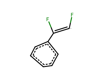 F[C]=C(F)c1ccccc1